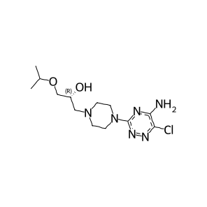 CC(C)OC[C@H](O)CN1CCN(c2nnc(Cl)c(N)n2)CC1